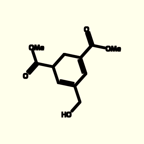 COC(=O)C1=CC(CO)=CC(C(=O)OC)C1